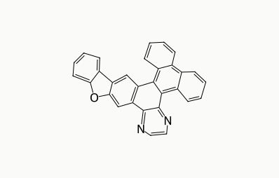 c1ccc2c(c1)oc1cc3c(cc12)c1c2ccccc2c2ccccc2c1c1nccnc31